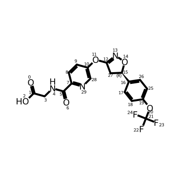 O=C(O)CNC(=O)c1ccc(OC2=NO[C@@H](c3ccc(OC(F)(F)F)cc3)C2)cn1